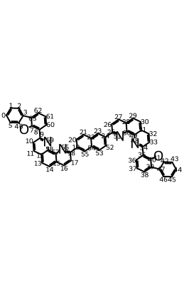 c1ccc2c(c1)oc1c(-c3ccc4ccc5ccc(-c6ccc7cc(-c8ccc9ccc%10ccc(-c%11cccc%12c%11oc%11ccccc%11%12)nc%10c9n8)ccc7c6)nc5c4n3)cccc12